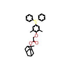 Cc1cc([S+](c2ccccc2)c2ccccc2)cc(C)c1OCC(=O)OC1(C)C2CC3CC(C2)CC1C3